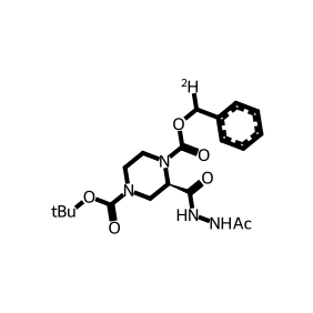 [2H]C(OC(=O)N1CCN(C(=O)OC(C)(C)C)C[C@@H]1C(=O)NNC(C)=O)c1ccccc1